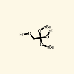 [CH2]COCC(OCC)(OCCCC)OCCCC